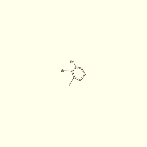 C[C](C)c1cccc(I)c1Br